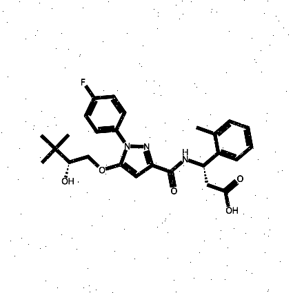 Cc1ccccc1[C@H](CC(=O)O)NC(=O)c1cc(OC[C@H](O)C(C)(C)C)n(-c2ccc(F)cc2)n1